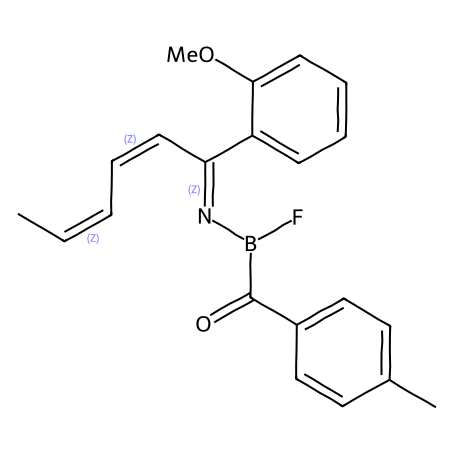 C\C=C/C=C\C(=N\B(F)C(=O)c1ccc(C)cc1)c1ccccc1OC